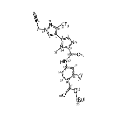 C#CCn1cc(-c2cnc(C(=O)Nc3ccc(C(=O)OC(C)(C)C)c(Cl)c3)n2C)c(C(F)(F)F)n1